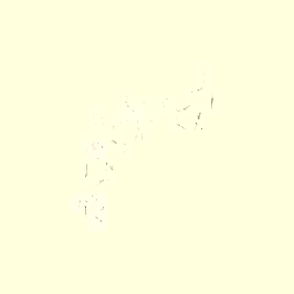 CCC(C(=O)Nc1ccc(-n2cncn2)cn1)[C@H]1[C@@H]2C[C@H](Oc3ccnc4ccc(F)cc34)C[C@@H]21